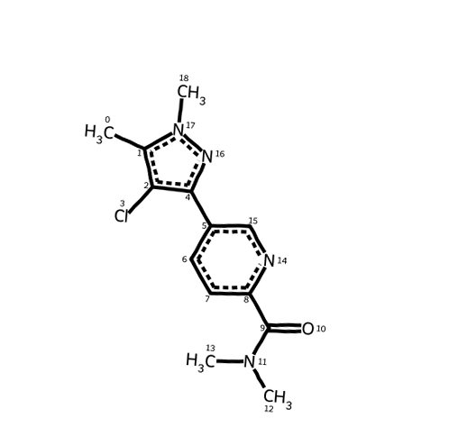 Cc1c(Cl)c(-c2ccc(C(=O)N(C)C)nc2)nn1C